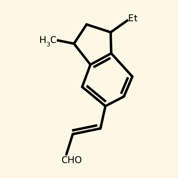 CCC1CC(C)c2cc(C=CC=O)ccc21